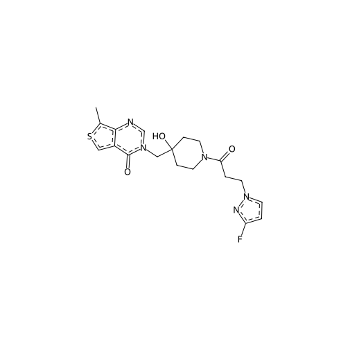 Cc1scc2c(=O)n(CC3(O)CCN(C(=O)CCn4ccc(F)n4)CC3)cnc12